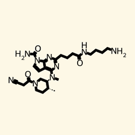 C[C@@H]1CCN(C(=O)CC#N)C[C@@H]1N(C)c1nc(CCCC(=O)NCCCCN)nc2c1ccn2C(N)=O